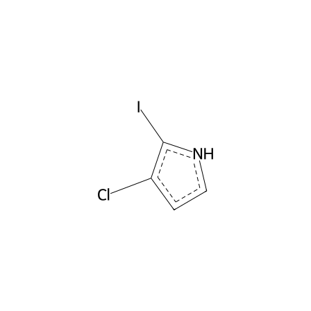 Clc1cc[nH]c1I